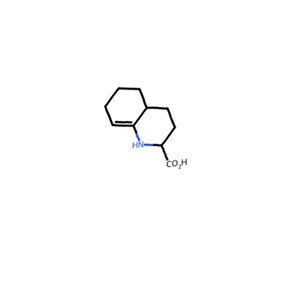 O=C(O)C1CCC2CCCC=C2N1